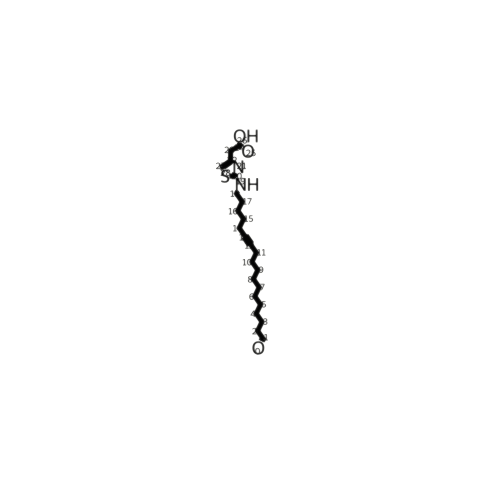 O=CCCCCCCCCCCC#CCCCCCNc1nc(CC(=O)O)cs1